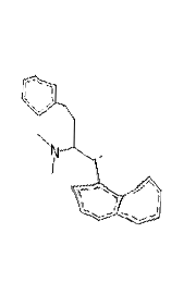 CN(C)C([CH]c1cccc2ccccc12)Cc1ccccc1